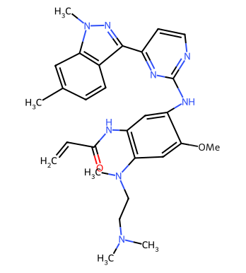 C=CC(=O)Nc1cc(Nc2nccc(-c3nn(C)c4cc(C)ccc34)n2)c(OC)cc1N(C)CCN(C)C